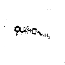 NCCN1CCN(c2nc(Cc3ccccc3F)ns2)CC1